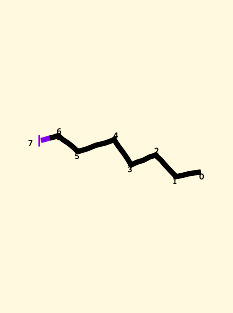 CCCCCC[CH]I